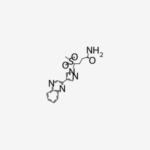 CS(=O)(=O)C(CCC(N)=O)n1cc(-c2cnc3ccccc3n2)cn1